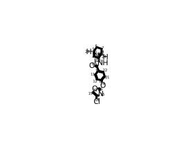 O=C(N[C@@H]1C[C@H]2CC[C@@H]1N2)c1ccc(Oc2nc(Cl)co2)cc1